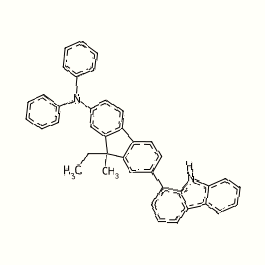 CCC1(C)c2cc(-c3cccc4c3[nH]c3ccccc34)ccc2-c2ccc(N(c3ccccc3)c3ccccc3)cc21